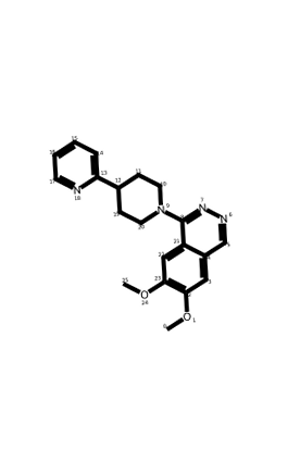 COc1cc2cnnc(N3CCC(c4ccccn4)CC3)c2cc1OC